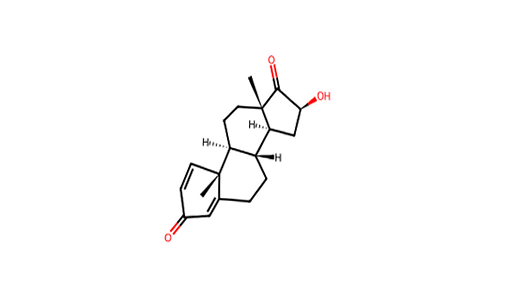 C[C@]12C=CC(=O)C=C1CC[C@@H]1[C@@H]2CC[C@]2(C)C(=O)[C@@H](O)C[C@@H]12